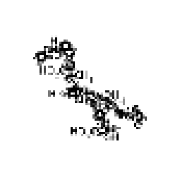 Cc1c(-c2ccc(N3CCc4cccc(C(=O)Nc5nc6ccccc6s5)c4C3)nc2C(=O)O)cnn1CC12CC3(C)CC(C)(C1)CC(OCCN(CC[C@H](O)CO)C(=O)OCc1ccc(O[C@@H]4O[C@H](C(=O)O)C[C@H](O)[C@H]4O)cc1OCCOCCNC(=O)CN1C(=O)C=CC1=O)(C3)C2